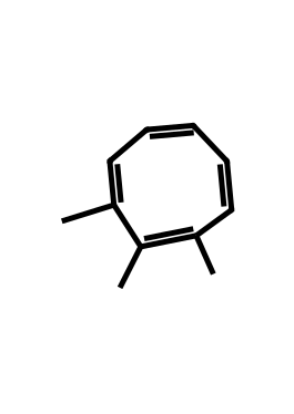 CC1=C/C=C\C=C/C(C)=C\1C